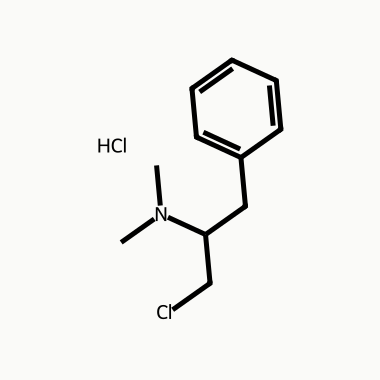 CN(C)C(CCl)Cc1ccccc1.Cl